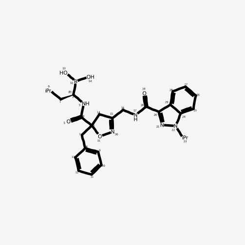 CC(C)C[C@H](NC(=O)C1(Cc2ccccc2)CC(CNC(=O)c2nn(C(C)C)c3ccccc23)=NO1)B(O)O